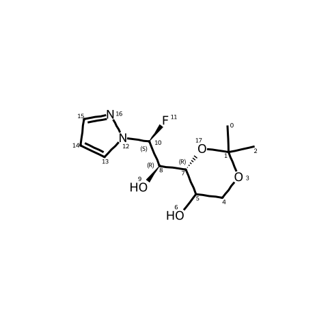 CC1(C)OCC(O)[C@H]([C@@H](O)[C@H](F)n2cccn2)O1